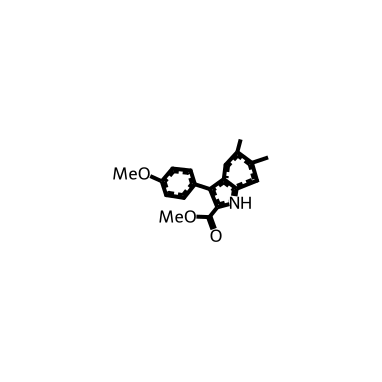 COC(=O)c1[nH]c2cc(C)c(C)cc2c1-c1ccc(OC)cc1